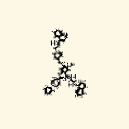 COc1cc2c(NCCNc3cccc4ccccc34)nc(N3CCN(c4ccccc4)CC3)nc2cc1OCC1CCN(CCNc2ccnc3ccccc23)CC1